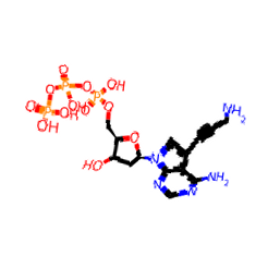 NCC#Cc1cn([C@H]2CC(O)[C@@H](COP(=O)(O)OP(=O)(O)OP(=O)(O)O)O2)c2ncnc(N)c12